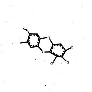 Clc1cc2c(cc1Cl)Oc1c(cc(Cl)c(Cl)c1Cl)O2